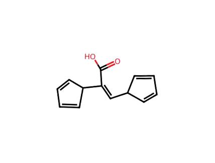 O=C(O)C(=CC1C=CC=C1)C1C=CC=C1